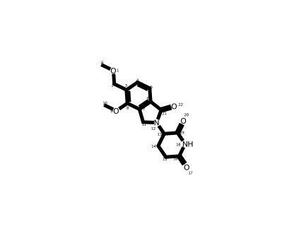 COCc1ccc2c(c1OC)CN(C1CCC(=O)NC1=O)C2=O